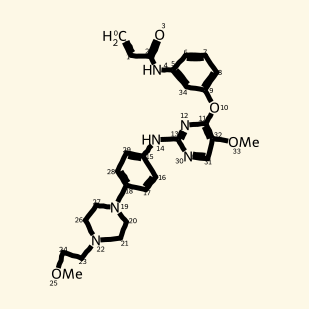 C=CC(=O)Nc1cccc(Oc2nc(Nc3ccc(N4CCN(CCOC)CC4)cc3)ncc2OC)c1